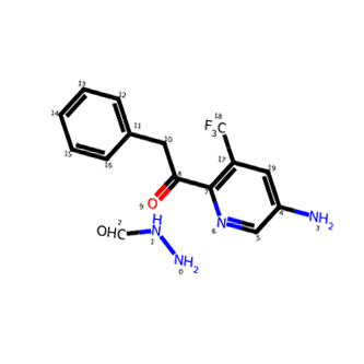 NNC=O.Nc1cnc(C(=O)Cc2ccccc2)c(C(F)(F)F)c1